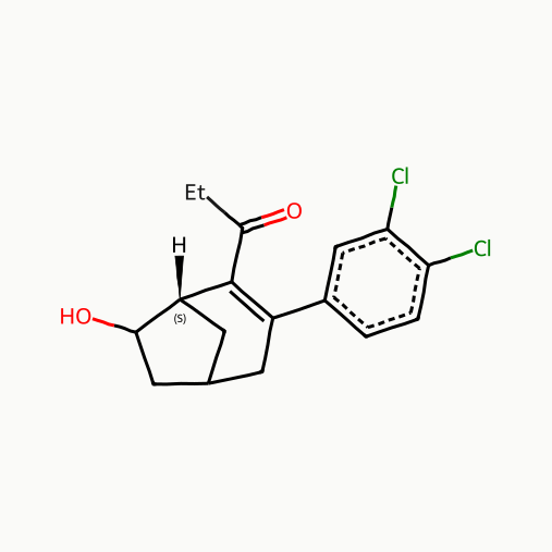 CCC(=O)C1=C(c2ccc(Cl)c(Cl)c2)CC2CC(O)[C@H]1C2